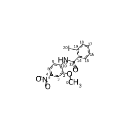 COc1cc([N+](=O)[O-])ccc1NC(=O)c1ccccc1I